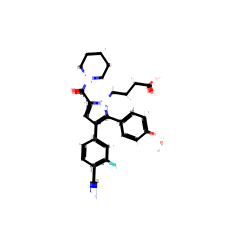 COc1ccc(-c2c(-c3ccc(C#N)c(F)c3)cc(C(=O)N3CCCCC3)n2CCCC(=O)O)cc1